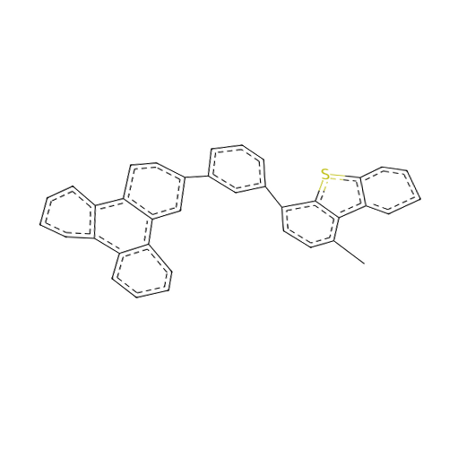 Cc1ccc(-c2cccc(-c3ccc4c5ccccc5c5ccccc5c4c3)c2)c2sc3ccccc3c12